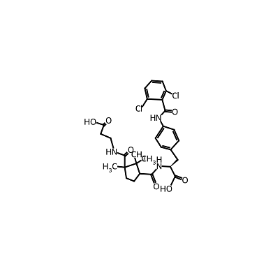 CC1(C(=O)NCCC(=O)O)CCC(C(=O)N[C@@H](Cc2ccc(NC(=O)c3c(Cl)cccc3Cl)cc2)C(=O)O)C1(C)C